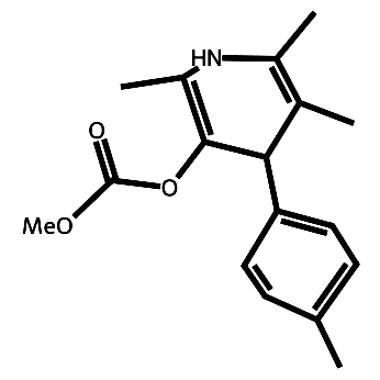 COC(=O)OC1=C(C)NC(C)=C(C)C1c1ccc(C)cc1